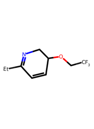 CCC1=NCC(OCC(F)(F)F)C=C1